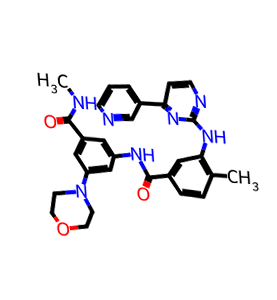 CNC(=O)c1cc(NC(=O)c2ccc(C)c(Nc3nccc(-c4cccnc4)n3)c2)cc(N2CCOCC2)c1